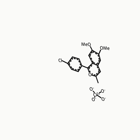 COc1cc2cc(C)[o+]c(-c3ccc(Cl)cc3)c2cc1OC.[O-][Cl+3]([O-])([O-])[O-]